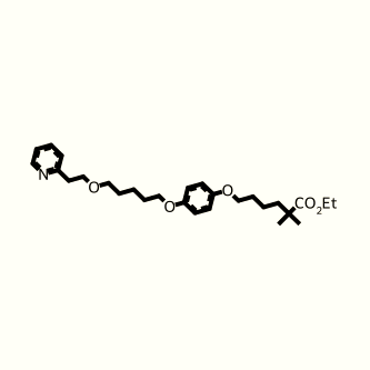 CCOC(=O)C(C)(C)CCCCOc1ccc(OCCCCCOCCc2ccccn2)cc1